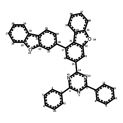 c1ccc(-c2nc(-c3ccccc3)nc(-c3cc(-c4ccc5c(c4)oc4ccccc45)c4c(c3)oc3ccccc34)n2)cc1